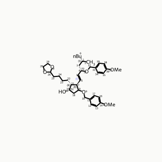 CCCC[C@H](C)C[C@@H](/C=C/[C@H]1C(OCc2ccc(OC)cc2)C[C@H](O)[C@@H]1CCCCC1OCCO1)OCc1ccc(OC)cc1